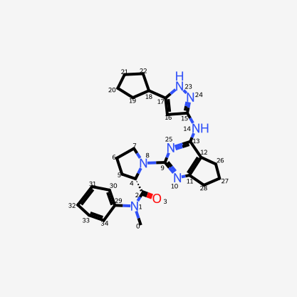 CN(C(=O)[C@@H]1CCCN1c1nc2c(c(Nc3cc(C4CCCC4)[nH]n3)n1)CCC2)c1ccccc1